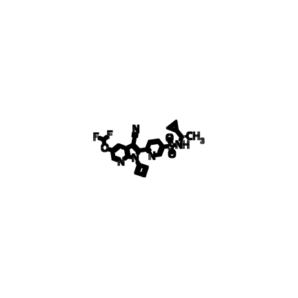 C[C@H](NS(=O)(=O)c1ccc(-c2c(C#N)c3cc(OC(F)F)cnc3n2C2=CC=C2)nc1)C1CC1